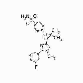 Cn1cc([C@H]2[C@H](c3ccc(S(N)(=O)=O)cc3)C2(C)C)nc1-c1cccc(F)c1